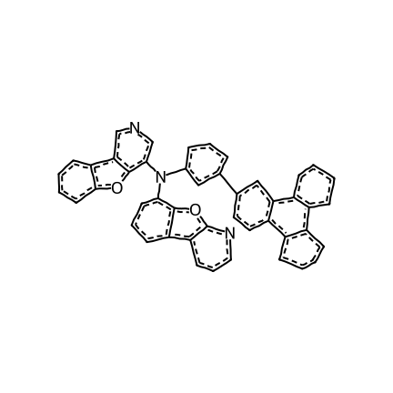 c1cc(-c2ccc3c4ccccc4c4ccccc4c3c2)cc(N(c2cncc3c2oc2ccccc23)c2cccc3c2oc2ncccc23)c1